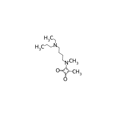 CCCN(CC)CCCCN(C)c1c(C)c(=O)c1=O